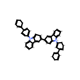 C1=CCCC(c2ccc(-n3c4ccccc4c4cc(-c5ccc6c(c5)c5ccccc5n6C5=CC(C6=CCCC=C6)=CCC5)ccc43)cc2)=C1